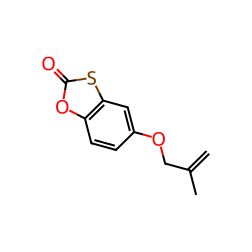 C=C(C)COc1ccc2oc(=O)sc2c1